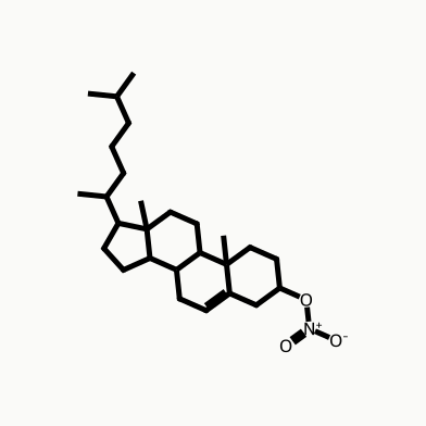 CC(C)CCCC(C)C1CCC2C3CC=C4CC(O[N+](=O)[O-])CCC4(C)C3CCC12C